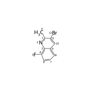 Cc1nc2c(F)cccc2cc1Br